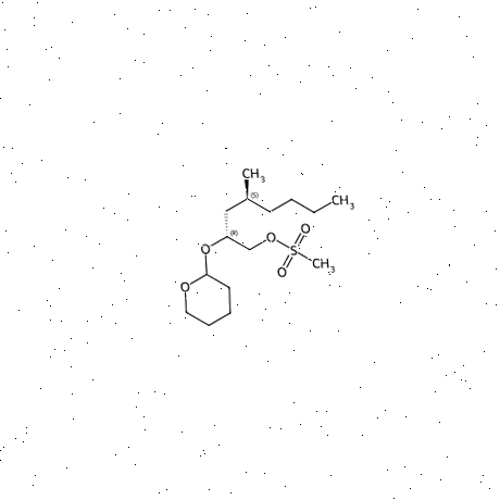 CCCC[C@H](C)C[C@H](COS(C)(=O)=O)OC1CCCCO1